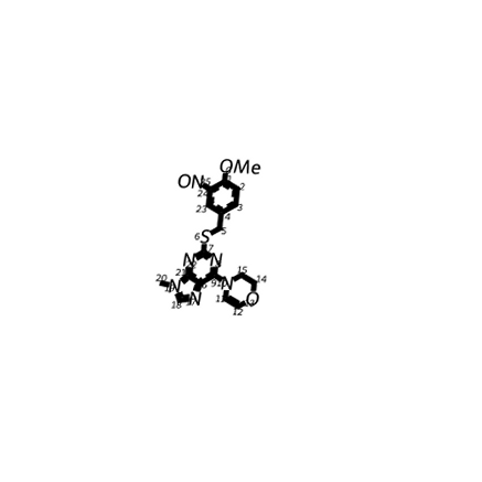 COc1ccc(CSc2nc(N3C=COCC3)c3ncn(C)c3n2)cc1N=O